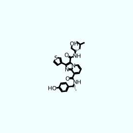 CC(C)C[C@@H](CO)NC(=O)c1c(-c2ccsc2)nc2c(C(=O)N[C@H](C)c3ccc(O)cc3)cccn12